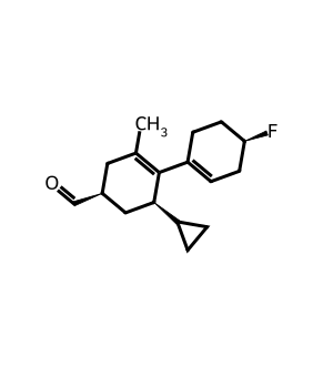 CC1=C(C2=CC[C@H](F)CC2)[C@@H](C2CC2)C[C@@H](C=O)C1